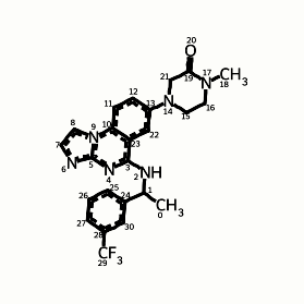 CC(Nc1nc2nccn2c2ccc(N3CCN(C)C(=O)C3)cc12)c1cccc(C(F)(F)F)c1